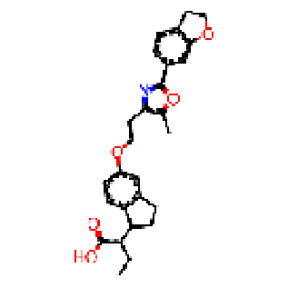 CCC(C(=O)O)C1CCc2cc(OCCc3nc(-c4ccc5c(c4)OCC5)oc3C)ccc21